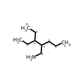 CCCC(CN)C(CC)CC